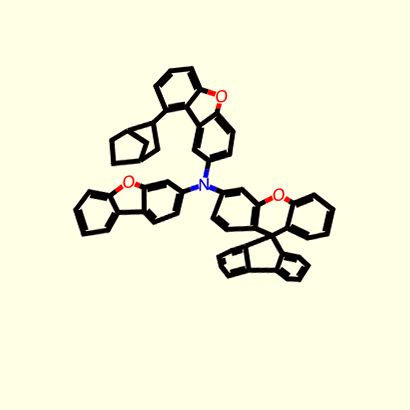 c1ccc2c(c1)Oc1cc(N(c3ccc4c(c3)oc3ccccc34)c3ccc4oc5cccc(C6CC7CCC6C7)c5c4c3)ccc1C21c2ccccc2-c2ccccc21